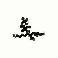 NCCCC[C@H](N)C(=O)O.O=P(O)(O)O.O=S(=O)([O-])[O-].[Cl][Ca][Cl].[Mg+2]